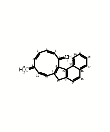 C=c1ccccc(=C)c2c(cc1)Cc1ccc3ccccc3c1-2